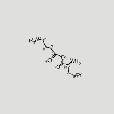 CC(C)C[C@H](N)C(=O)OC(=O)CCCN